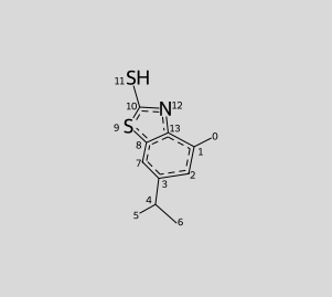 Cc1cc(C(C)C)cc2sc(S)nc12